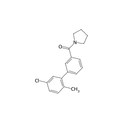 Cc1ccc(Cl)cc1-c1cccc(C(=O)N2CCCC2)c1